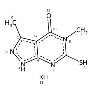 Cc1n[nH]c2nc(S)n(C)c(=O)c12.[KH]